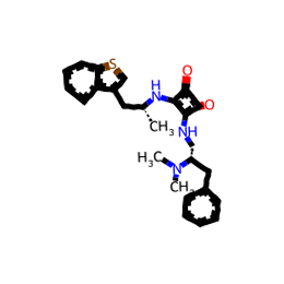 C[C@H](Cc1csc2ccccc12)Nc1c(NC[C@H](Cc2ccccc2)N(C)C)c(=O)c1=O